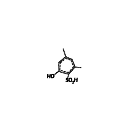 Cc1cc(C)c(S(=O)(=O)O)c(O)c1